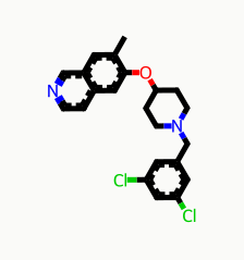 Cc1cc2cnccc2cc1OC1CCN(Cc2cc(Cl)cc(Cl)c2)CC1